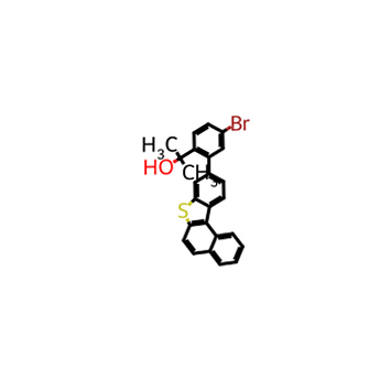 CC(C)(O)c1ccc(Br)cc1-c1ccc2c(c1)sc1ccc3ccccc3c12